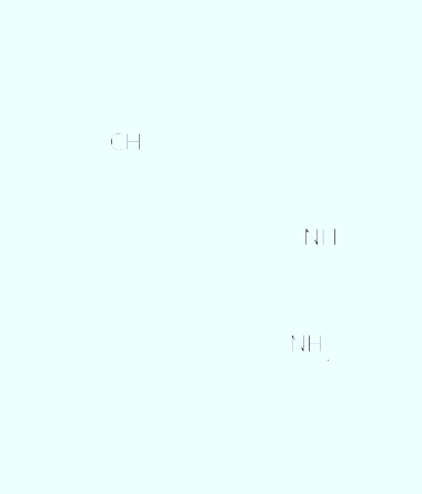 CC1C=C(C(=N)N)C=CC1